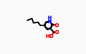 CCCCCc1c[nH]c(=O)c(C(=O)O)c1